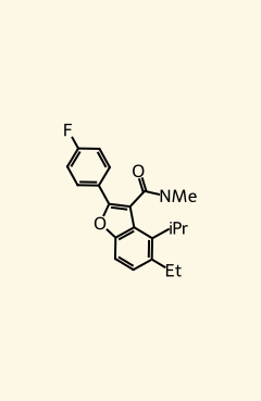 CCc1ccc2oc(-c3ccc(F)cc3)c(C(=O)NC)c2c1C(C)C